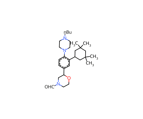 CCCCN1CCN(c2ccc(C3CN(C=O)CCO3)cc2C2CC(C)(C)CC(C)(C)C2)CC1